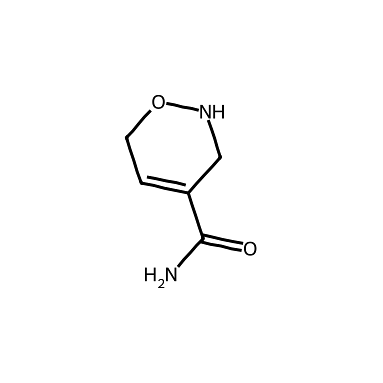 NC(=O)C1=CCONC1